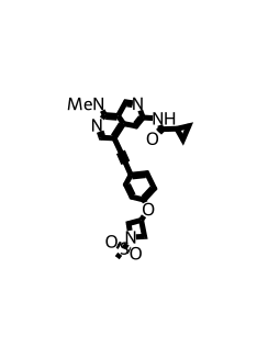 CNc1ncc(C#Cc2ccc(OC3CN(S(C)(=O)=O)C3)cc2)c2cc(NC(=O)C3CC3)ncc12